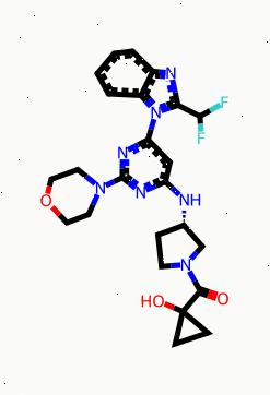 O=C(N1CC[C@H](Nc2cc(-n3c(C(F)F)nc4ccccc43)nc(N3CCOCC3)n2)C1)C1(O)CC1